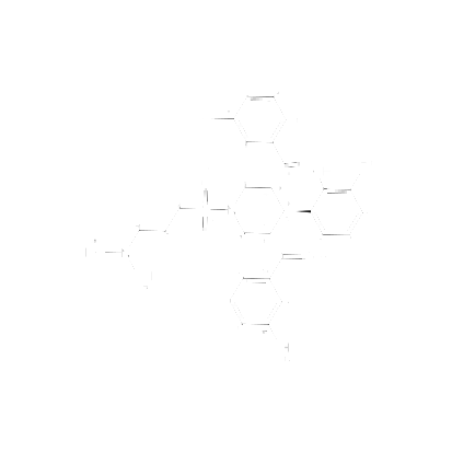 Cc1c(F)cccc1[C@@H]1[C@@H](C(=O)c2cccc(O)c2)CN(S(=O)(=O)CCCN(C)C)C[C@H]1C(=O)c1cccc(O)c1